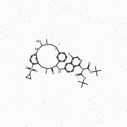 C[C@H]1CN(C)C(O)Nc2ccc(S(=O)(=O)C3CC3)c(c2)CN(C)C(=O)C(Nc2ccc3c(N(C(=O)OC(C)(C)C)C(=O)OC(C)(C)C)ncc(F)c3c2)c2cccc1c2